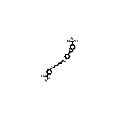 CC(C)NC(=N)c1ccc(OCCCCCCOc2ccc(-c3cc4ccc(C(=N)NC(C)C)cc4o3)cc2)cc1